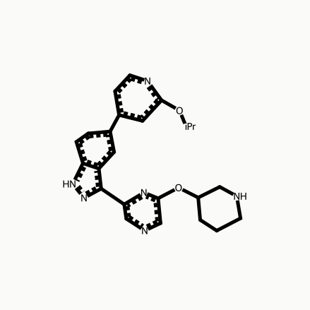 CC(C)Oc1cc(-c2ccc3[nH]nc(-c4cncc(OC5CCCNC5)n4)c3c2)ccn1